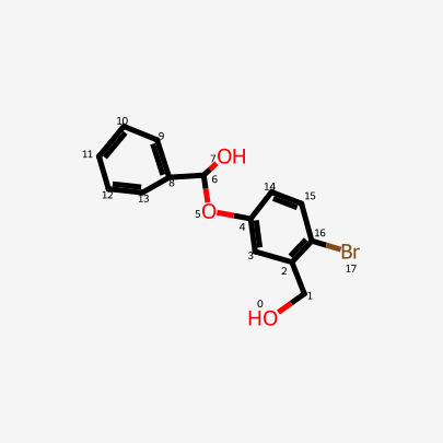 OCc1cc(OC(O)c2ccccc2)ccc1Br